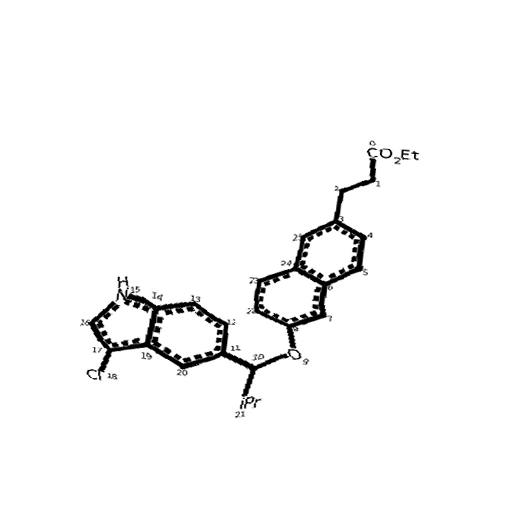 CCOC(=O)CCc1ccc2cc(OC(c3ccc4[nH]cc(Cl)c4c3)C(C)C)ccc2c1